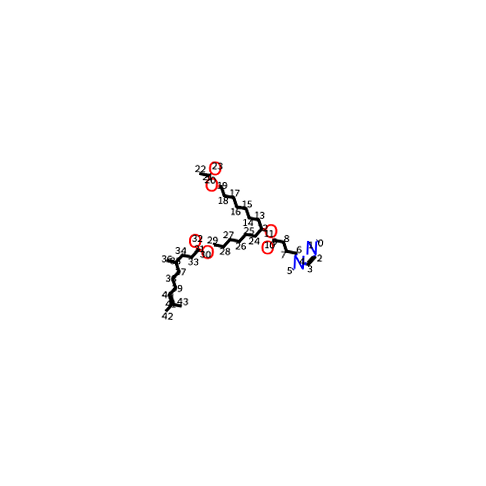 C=N/C=C\N(C)CCCC(=O)OC(CCCCCCCOC(C)=O)CCCCCCOC(=O)CCC(C)CCCC=C(C)C